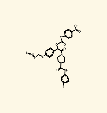 [N-]=[N+]=NCOc1ccc(C(OC(=O)Oc2ccc([N+](=O)[O-])cc2)C(=O)N2CCC(C(=O)Nc3ccc(I)cc3)CC2)cc1